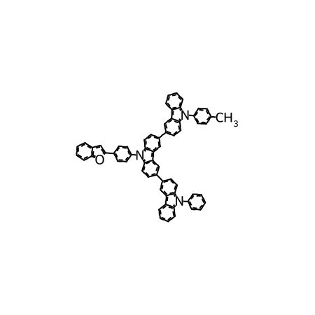 Cc1ccc(-n2c3ccccc3c3cc(-c4ccc5c(c4)c4cc(-c6ccc7c(c6)c6ccccc6n7-c6ccccc6)ccc4n5-c4ccc(-c5cc6ccccc6o5)cc4)ccc32)cc1